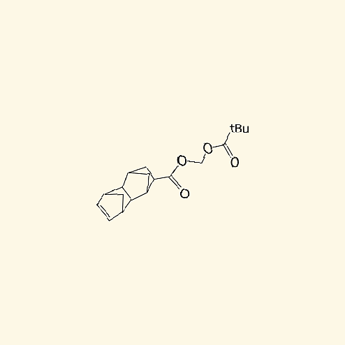 CC(C)(C)C(=O)OCOC(=O)C1CC2CC1C1C3C=CC(C3)C21